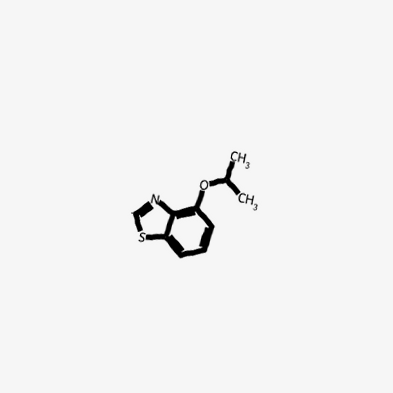 CC(C)Oc1cccc2s[c]nc12